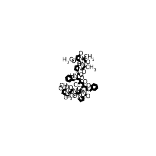 COC1CC(=O)N([C@@H](C)C(=O)N[C@@H](C)C(=O)N2CCC[C@H]2C(=O)N[C@@H](Cc2ccccc2)C(=O)C(Cl)C(=O)C(Cl)C(=O)[C@H](Cc2ccccc2)NC(=O)[C@@H]2CCCN2C(=O)[C@H](C)NC(=O)[C@H](C)N2C(=O)CC(OC)C2=O)C1=O